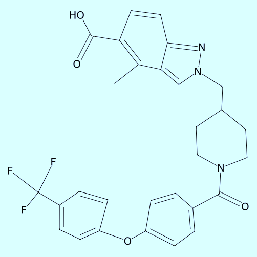 Cc1c(C(=O)O)ccc2nn(CC3CCN(C(=O)c4ccc(Oc5ccc(C(F)(F)F)cc5)cc4)CC3)cc12